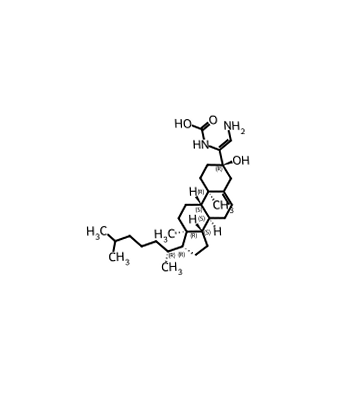 CC(C)CCC[C@@H](C)[C@H]1CC[C@H]2[C@@H]3CC=C4C[C@@](O)(C(=CN)NC(=O)O)CC[C@]4(C)[C@H]3CC[C@]12C